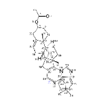 CC(=O)OC1CC[C@@]2(C)C(=CC[C@@H]3[C@@H]2CC[C@]2(C)C(n4cnc5ccccc54)=C(/C=N\CCC(C)C)C[C@@H]32)C1